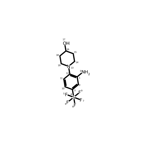 Nc1cc(S(F)(F)(F)(F)F)ccc1N1CCC(O)CC1